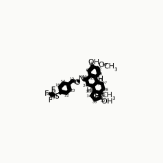 COc1cc2c(cc1O)C(=NOCc1ccc(SC(F)(F)F)cc1)C[C@@H]1[C@@H]2CC[C@]2(C)[C@H](O)CC[C@@H]12